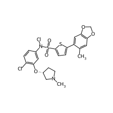 Cc1cc2c(cc1-c1ccc(S(=O)(=O)N(Cl)c3ccc(Cl)c(O[C@@H]4CCN(C)C4)c3)s1)OCO2